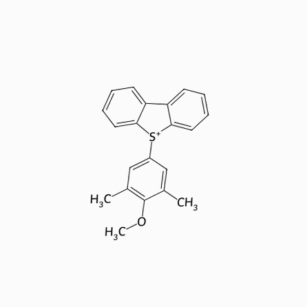 COc1c(C)cc(-[s+]2c3ccccc3c3ccccc32)cc1C